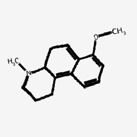 COc1cccc2c1=CCC1C=2CCCN1C